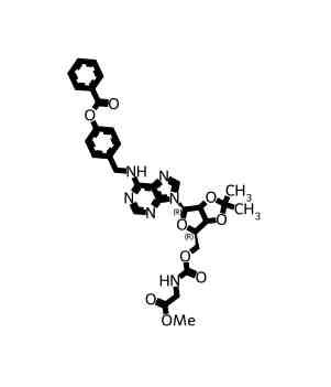 COC(=O)CNC(=O)OC[C@H]1O[C@@H](n2cnc3c(NCc4ccc(OC(=O)c5ccccc5)cc4)ncnc32)C2OC(C)(C)OC21